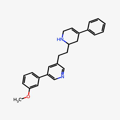 COc1cccc(-c2cncc(CCC3CC(c4ccccc4)=CCN3)c2)c1